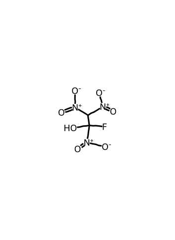 O=[N+]([O-])C([N+](=O)[O-])C(O)(F)[N+](=O)[O-]